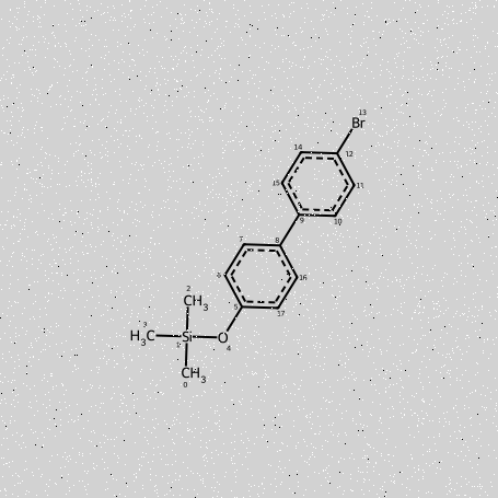 C[Si](C)(C)Oc1ccc(-c2ccc(Br)cc2)cc1